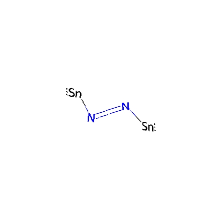 [Sn][N]=[N][Sn]